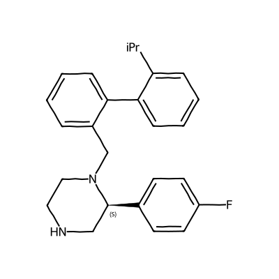 CC(C)c1ccccc1-c1ccccc1CN1CCNC[C@@H]1c1ccc(F)cc1